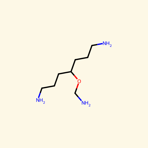 NCCCC(CCCN)OCN